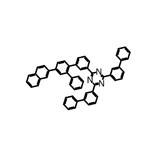 c1ccc(-c2cccc(-c3nc(-c4cccc(-c5ccccc5)c4)nc(-c4cccc(-c5ccc(-c6ccc7ccccc7c6)cc5-c5ccccc5)c4)n3)c2)cc1